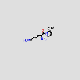 NCCCC[C@H](N)C(=O)N1CCC[C@H]1[C]=O